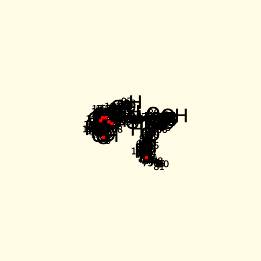 CC(=O)O[C@@H]1C(=O)[C@]2(C)C([C@@H](OC(=O)c3ccccc3)[C@]3(O)C[C@@H](OC(=O)[C@@H](OC(=O)CCC(=O)NCCCC[C@@H](NC(=O)[C@@H](Cc4ccc(OP(=O)(O)O)cc4)NC(=O)O[C@H]4CC[C@@]5(C)C(=CC[C@H]6[C@@H]7CC[C@H]([C@H](C)CCCC(C)C)[C@@]7(C)CC[C@@H]65)C4)C(=O)O)[C@H](NC(=O)c4ccccc4)c4ccccc4)C(C)=C1C3(C)C)[C@@]1(OC(C)=O)CO[C@H]1C[C@H]2O